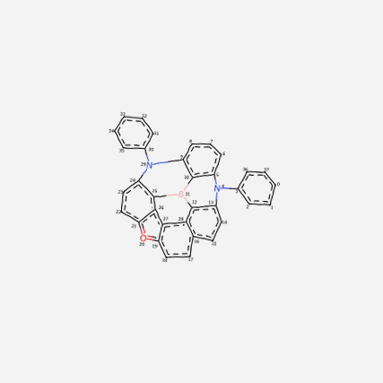 c1ccc(N2c3cccc4c3B3c5c2ccc2ccc6oc7ccc(c3c7c6c52)N4c2ccccc2)cc1